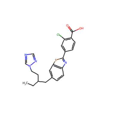 CCC(CCn1cncn1)Cc1ccc2nc(-c3ccc(C(=O)O)c(Cl)c3)sc2c1